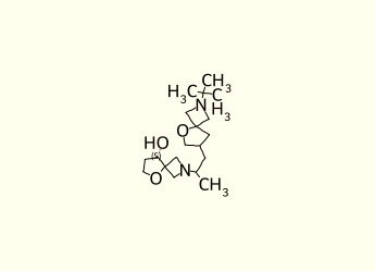 CC(CC1COC2(C1)CN(C(C)(C)C)C2)N1CC2(C1)OCC[C@@H]2O